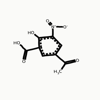 CC(=O)c1cc(C(=O)O)c(O)c([N+](=O)[O-])c1